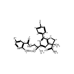 COc1ncc(F)cc1C(=O)NC[C@](O)(c1cc2c(c(-c3ccc(F)cc3)n1)OC[C@]2(C)C(N)=O)C(F)(F)F